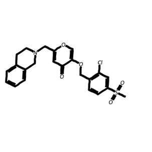 CS(=O)(=O)c1ccc(COc2coc(CN3CCc4ccccc4C3)cc2=O)c(Cl)c1